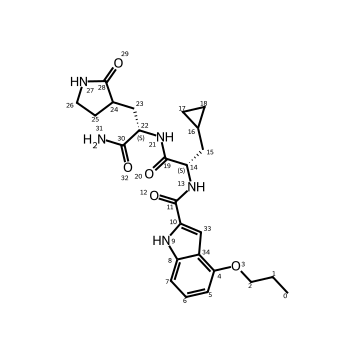 CCCOc1cccc2[nH]c(C(=O)N[C@@H](CC3CC3)C(=O)N[C@@H](CC3CCNC3=O)C(N)=O)cc12